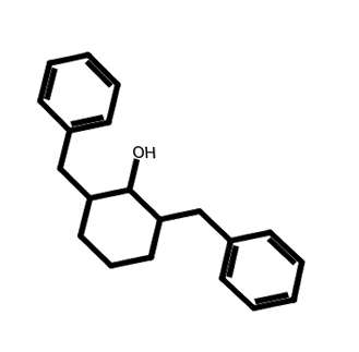 OC1C(Cc2ccccc2)CCCC1Cc1ccccc1